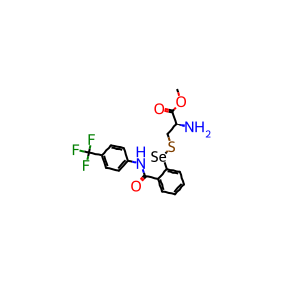 COC(=O)[C@@H](N)CS[Se]c1ccccc1C(=O)Nc1ccc(C(F)(F)F)cc1